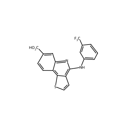 O=C(O)c1ccc2c(c1)nc(Nc1cccc(C(F)(F)F)c1)c1ccsc12